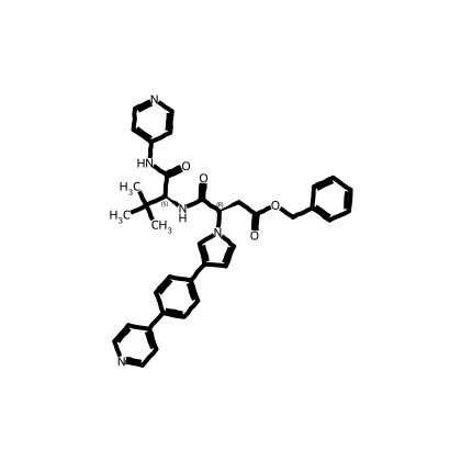 CC(C)(C)[C@H](NC(=O)[C@@H](CC(=O)OCc1ccccc1)n1ccc(-c2ccc(-c3ccncc3)cc2)c1)C(=O)Nc1ccncc1